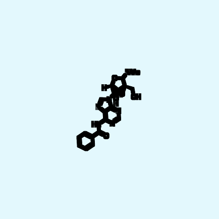 CNC1O[C@H]2[C@H](n3cnc4c(NC(=O)c5ccccc5)ncnc43)O[C@]1(CO)[C@H]2O